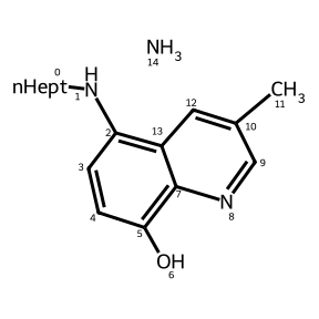 CCCCCCCNc1ccc(O)c2ncc(C)cc12.N